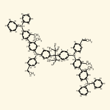 C=Cc1ccc(N(c2ccc(C(c3ccc(N(c4ccc(C=C)cc4)c4ccc(-c5ccc(N(c6ccccc6)c6ccccc6)cc5C)c(C)c4)cc3)(C(F)(F)F)C(F)(F)F)cc2)c2ccc(-c3ccc(N(c4ccccc4)c4ccccc4)cc3C)c(C)c2)cc1